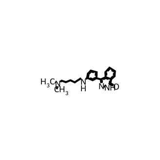 CN(C)CCCCCNc1cccc(-c2n[nH]c(=O)c3ccccc23)c1